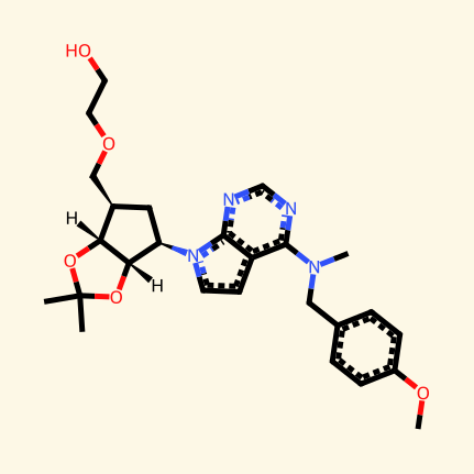 COc1ccc(CN(C)c2ncnc3c2ccn3[C@@H]2C[C@H](COCCO)[C@H]3OC(C)(C)O[C@H]32)cc1